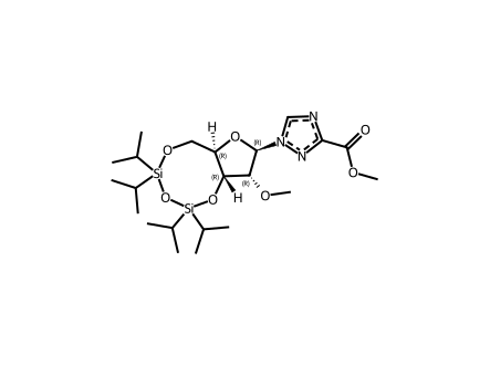 COC(=O)c1ncn([C@@H]2O[C@@H]3CO[Si](C(C)C)(C(C)C)O[Si](C(C)C)(C(C)C)O[C@H]3[C@H]2OC)n1